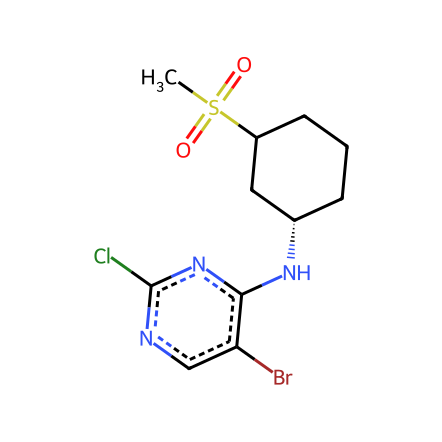 CS(=O)(=O)C1CCC[C@H](Nc2nc(Cl)ncc2Br)C1